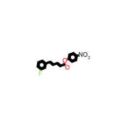 O=C(C=CC=Cc1cccc(F)c1)Oc1ccc([N+](=O)[O-])cc1